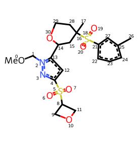 COCn1nc(S(=O)(=O)C2COC2)cc1C1CC(C)(S(=O)(=O)c2cccc(C)c2)CCO1